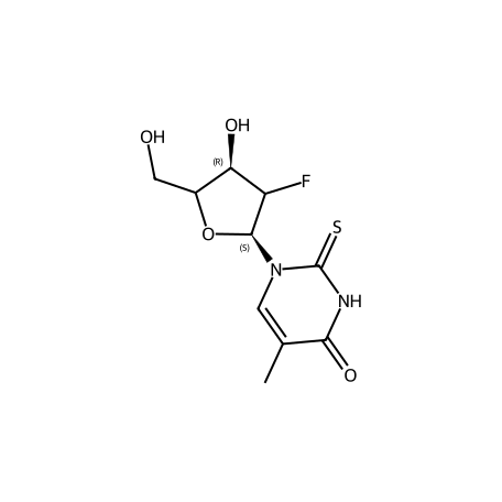 Cc1cn([C@H]2OC(CO)[C@@H](O)C2F)c(=S)[nH]c1=O